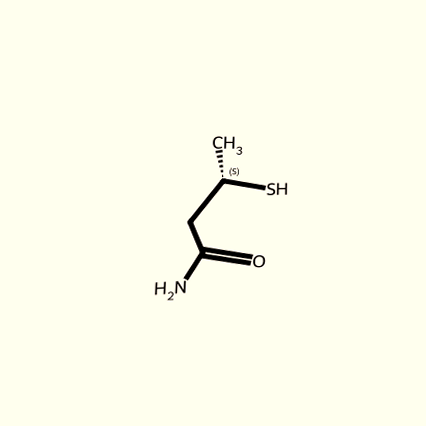 C[C@H](S)CC(N)=O